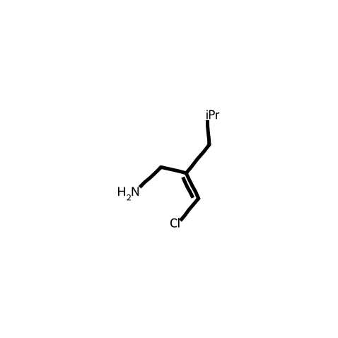 CC(C)CC(=CCl)CN